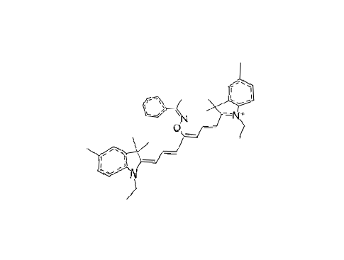 CCN1/C(=C/C=C/C(=C/C=C/C2=[N+](CC)c3ccc(C)cc3C2(C)C)O/N=C(/C)c2ccccc2)C(C)(C)c2cc(C)ccc21